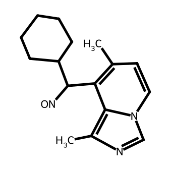 Cc1ccn2cnc(C)c2c1C(N=O)C1CCCCC1